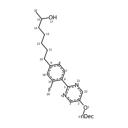 CCCCCCCCCCOc1cnc(-c2ccc(CCCCCC(C)O)cc2F)nc1